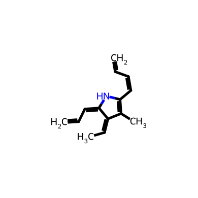 C=C/C=C\c1[nH]c(=C/C=C)/c(=C\C)c1C